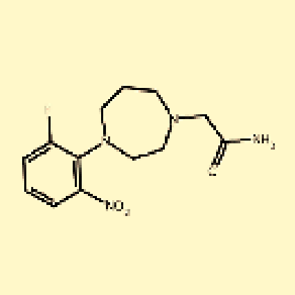 NC(=O)CN1CCCN(c2c(F)cccc2[N+](=O)[O-])CC1